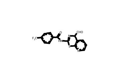 O=CC1N=C(NC(=O)c2ccc(C(F)(F)F)cc2)Sc2ncccc21